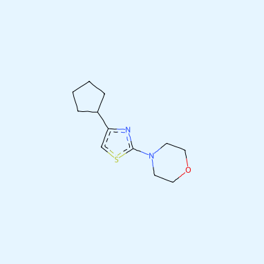 c1sc(N2CCOCC2)nc1C1CCCC1